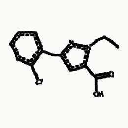 CCn1nc(-c2ccccc2Cl)cc1C(=O)O